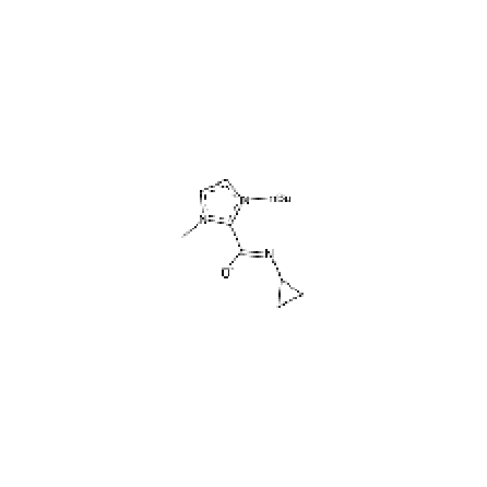 CCCCn1cc[n+](C)c1/C([O-])=N/C1CC1